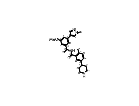 COc1cc(-c2cnn(C)c2)cc(C(C)NC(=O)c2cc(C3CCNCC3)ccc2C)c1